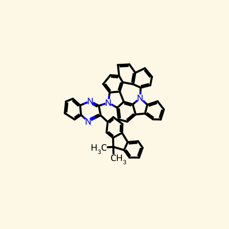 CC1(C)c2ccccc2-c2ccc(-c3nc4ccccc4nc3-n3c4ccc5ccc6cccc7c6c5c4c4c3ccc3c5ccccc5n7c34)cc21